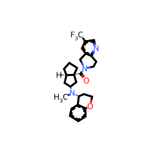 CN([C@@H]1C[C@H]2CCC[C@@]2(C(=O)N2CCc3ncc(C(F)(F)F)cc3C2)C1)[C@@H]1CCOc2ccccc21